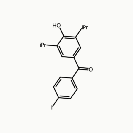 CC(C)c1cc(C(=O)c2ccc(I)cc2)cc(C(C)C)c1O